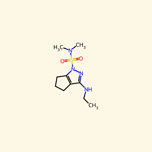 CCNc1nn(S(=O)(=O)N(C)C)c2c1CCC2